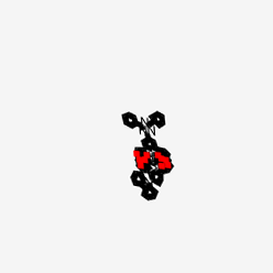 c1ccc(-c2nc(-c3ccccc3)nc(-c3ccc([Si](c4ccccc4)(c4ccccc4)[Si](c4ccccc4)(c4ccccc4)[Si](c4ccccc4)(c4ccccc4)c4cccc(-n5c6ccccc6c6ccccc65)c4)cc3)n2)cc1